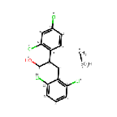 CS(=O)(=O)O.OCC(Cc1c(Cl)cccc1Cl)c1ccc(Cl)cc1Cl